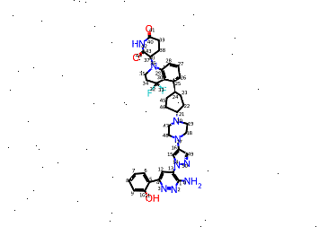 Nc1nnc(-c2ccccc2O)cc1-n1cc(N2CCN([C@H]3CC[C@H](c4cccc5c4C(F)(F)CCN5[C@@H]4CCC(=O)NC4=O)CC3)CC2)cn1